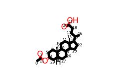 CC(=O)OC1CC[C@]2(C)C3CC[C@]4(C)C(C(C)CCC(=O)O)CCC4C3CC[C@@H]2C1